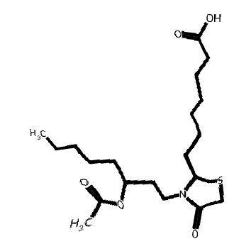 CCCCCC(CCN1C(=O)CSC1CCCCCCC(=O)O)OC(C)=O